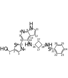 OCc1cnc(-c2cnc3[nH]ccc3c2N[C@H]2C[C@@H](NSc3ccccc3)C2)s1